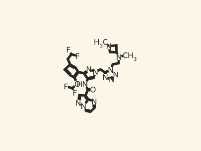 CN1CC(N(C)CCn2nnnc2Cn2cc(NC(=O)c3cnn4cccnc34)c(-c3cc(CC(F)F)ccc3OC(F)F)n2)C1